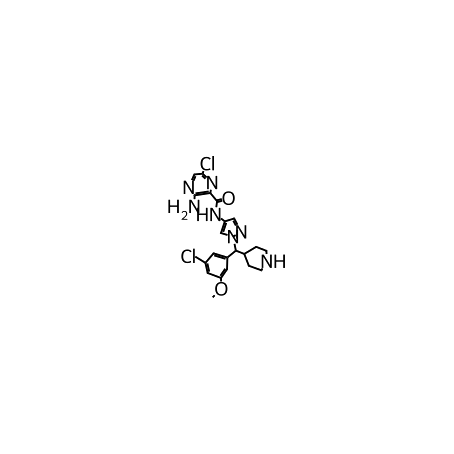 COc1cc(Cl)cc(C(C2CCNCC2)n2cc(NC(=O)c3nc(Cl)cnc3N)cn2)c1